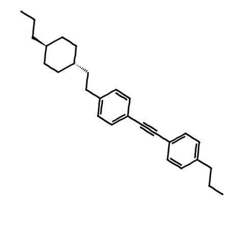 CCCc1ccc(C#Cc2ccc(CC[C@H]3CC[C@H](CCC)CC3)cc2)cc1